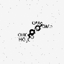 COC(OC)C1CCN(c2ccc3c(C=O)c(C(=O)O)oc3c2)CC1